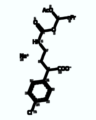 CCCC(OC(C)=O)OC(=O)NCCC(C(=O)[O-])c1ccc(Cl)cc1.[Na+]